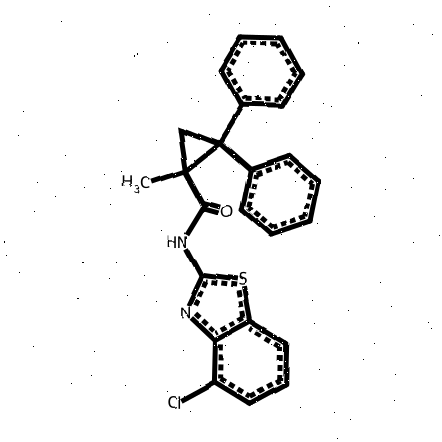 CC1(C(=O)Nc2nc3c(Cl)cccc3s2)CC1(c1ccccc1)c1ccccc1